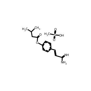 CC(C)CC(=O)Oc1ccc(C=CC(=N)N)cc1.CS(=O)(=O)O